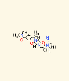 C[C@H](c1ccc(C(=O)N(C)C)cc1)N1C(=O)[C@@H]2C[C@H]1CN2C[C@H](C)C(=O)N1C2C[C@H]2C[C@H]1C#N